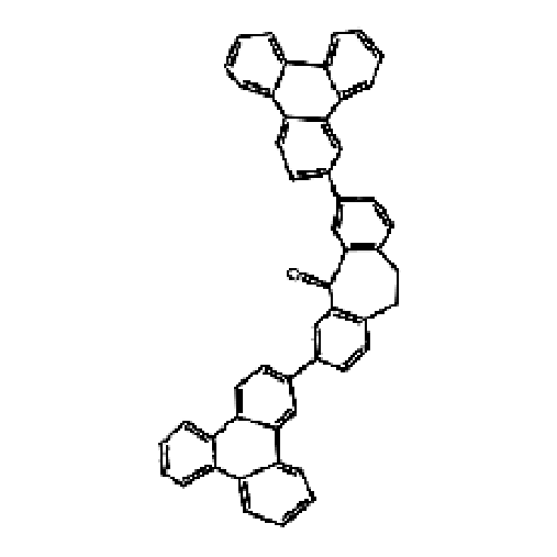 O=C1c2cc(-c3ccc4c5ccccc5c5ccccc5c4c3)ccc2CCc2ccc(-c3ccc4c5ccccc5c5ccccc5c4c3)cc21